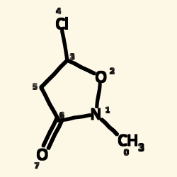 CN1OC(Cl)CC1=O